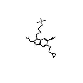 C[Si](C)(C)CCOCn1c(CCl)nc2cc(OCC3CC3)c(C#N)cc21